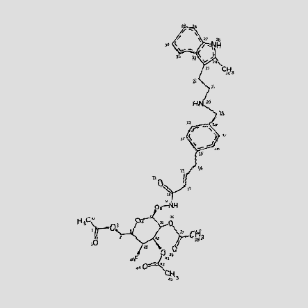 CC(=O)OCC1O[C@@H](ONC(=O)/C=C/Cc2ccc(CNCCc3c(C)[nH]c4ccccc34)cc2)C(OC(C)=O)[C@@H](OC(C)=O)[C@H]1F